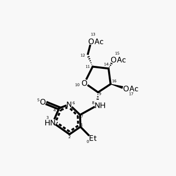 CCc1c[nH]c(=O)nc1N[C@@H]1O[C@H](COC(C)=O)[C@H](OC(C)=O)[C@H]1OC(C)=O